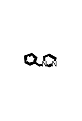 C1=CN=CN(Cc2ccccc2)C1